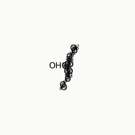 C=CC(=O)OCCCCOc1ccc(C(=O)Oc2ccc(OC(=O)c3ccc(OCCCCOC(=O)C=C)cc3)c(C=O)c2)cc1